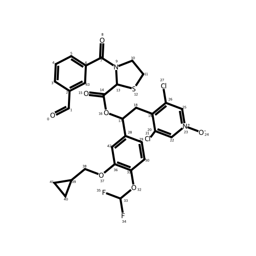 O=Cc1cccc(C(=O)N2CCSC2C(=O)OC(Cc2c(Cl)c[n+]([O-])cc2Cl)c2ccc(OC(F)F)c(OCC3CC3)c2)c1